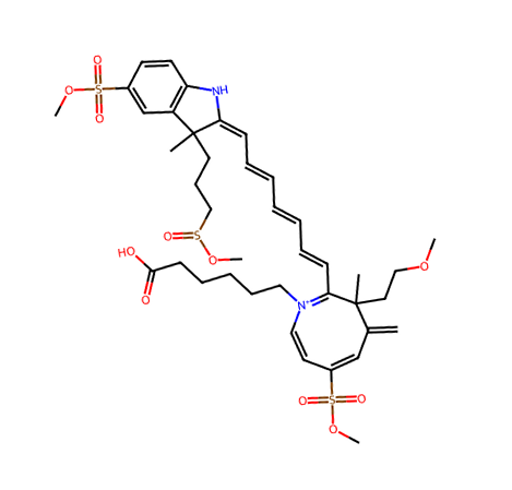 C=C1\C=C(S(=O)(=O)OC)/C=C\[N+](CCCCCC(=O)O)=C(\C=C\C=C\C=C\C=C2\Nc3ccc(S(=O)(=O)OC)cc3C2(C)CCCS(=O)OC)C1(C)CCOC